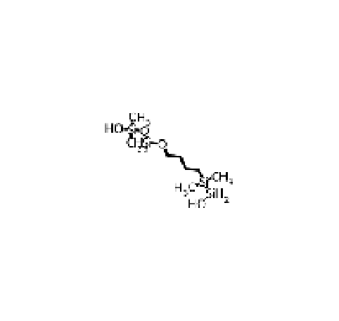 C[Si](C)(O)O[SiH2]OCCCC[Si](C)(C)[SiH2]O